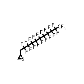 FC(F)(F)C(F)(F)C(F)(F)C(F)(F)C(F)(F)C(F)(F)C(F)(F)C(F)(F)C(F)(F)C(F)(F)CC1CS1